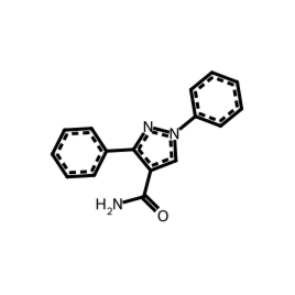 NC(=O)c1cn(-c2ccccc2)nc1-c1ccccc1